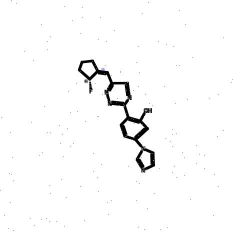 Oc1cc(-n2ccnc2)ccc1-c1ncc(/C=C2/CCC[C@H]2F)nn1